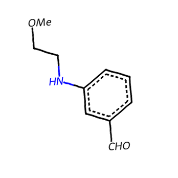 COCCNc1cccc(C=O)c1